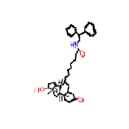 C[C@]12CCC(=O)CC1CC(CCCCCCCC(=O)NCC(c1ccccc1)c1ccccc1)[C@@H]1[C@H]2CC[C@]2(C)C(O)CC[C@@H]12